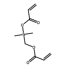 C=CC(=O)OC[Si](C)(C)OC(=O)C=C